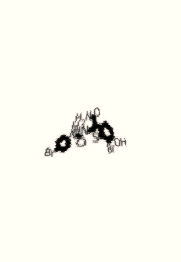 NC(=O)c1c(NC(=O)Nc2ccc(Br)cc2)sc2c(Br)c(O)ccc12